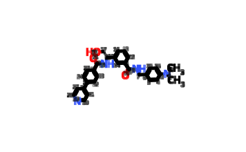 CN(C)c1ccc(CNC(=O)c2cccc([C@@H](CO)NC(=O)c3ccc(-c4ccncc4)cc3)c2)cc1